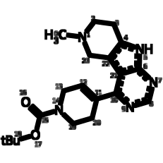 CN1CCc2[nH]c3ncnc(C4=CCN(C(=O)OC(C)(C)C)CC4)c3c2C1